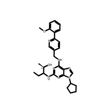 CCC(Nc1nc(NCc2ccc(-c3ccccc3OC)nc2)c2ncn(C3CCCC3)c2n1)[C@@H](C)O